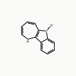 [O-][s+]1c2c(c3ccccc31)NC=CC=C2